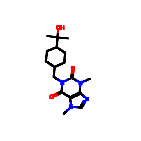 Cn1cnc2c1c(=O)n(CC1CCC(C(C)(C)O)CC1)c(=O)n2C